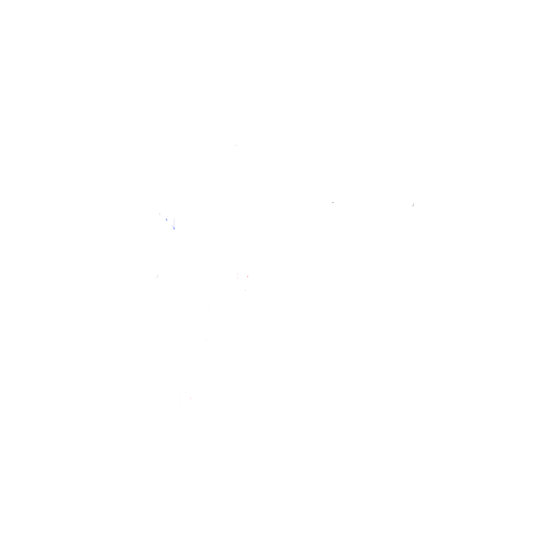 O=c1ccc2nc3ccc(Cc4ccccc4)cc3oc-2c1